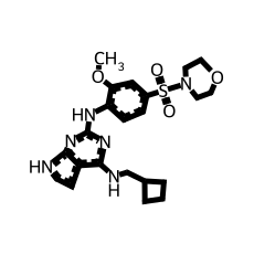 COc1cc(S(=O)(=O)N2CCOCC2)ccc1Nc1nc(NCC2CCC2)c2cc[nH]c2n1